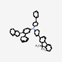 CC1(C)c2ccccc2-c2ccc(-c3ccc(N(c4ccc(-c5ccccc5)cc4)c4ccc(-c5ccc6ccccc6c5)c(-c5ccccc5)c4)cc3)cc21